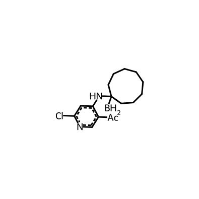 BC1(Nc2cc(Cl)ncc2C(C)=O)CCCCCCCC1